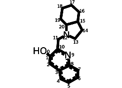 Oc1cc2ccccc2nc1CN1CCC2CCCCC21